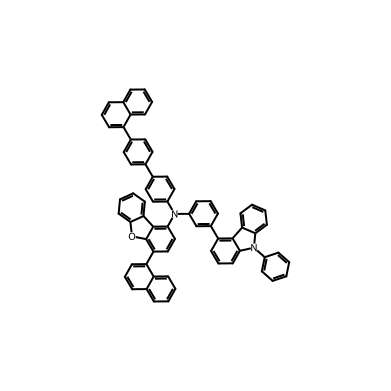 c1ccc(-n2c3ccccc3c3c(-c4cccc(N(c5ccc(-c6ccc(-c7cccc8ccccc78)cc6)cc5)c5ccc(-c6cccc7ccccc67)c6oc7ccccc7c56)c4)cccc32)cc1